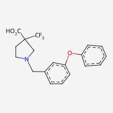 O=C(O)C1(C(F)(F)F)CCN(Cc2cccc(Oc3ccccc3)c2)C1